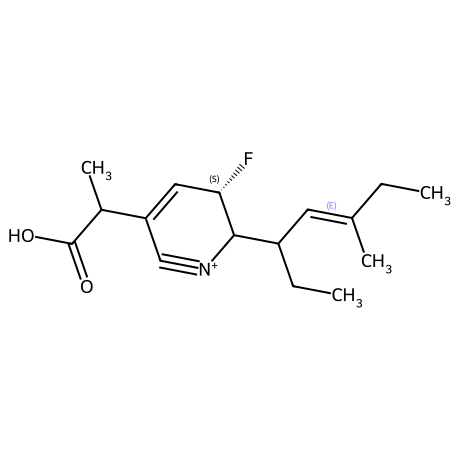 CC/C(C)=C/C(CC)C1[N+]#CC(C(C)C(=O)O)=C[C@@H]1F